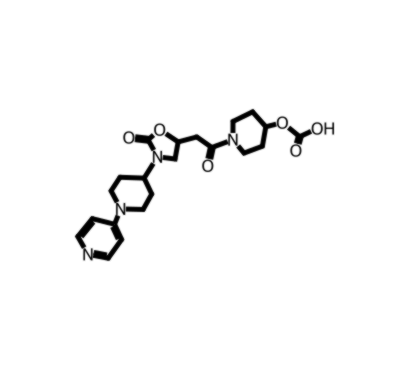 O=C(O)OC1CCN(C(=O)CC2CN(C3CCN(c4ccncc4)CC3)C(=O)O2)CC1